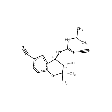 CC(C)NC(=NC#N)N[C@@H]1c2cc(C#N)ccc2OC(C)(C)[C@H]1O